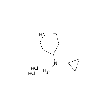 CN(C1CCNCC1)C1CC1.Cl.Cl